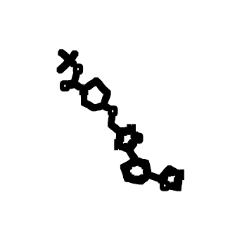 CC(C)(C)OC(=O)N1CCC(OCc2noc(-c3cccc(-c4cnco4)c3)n2)CC1